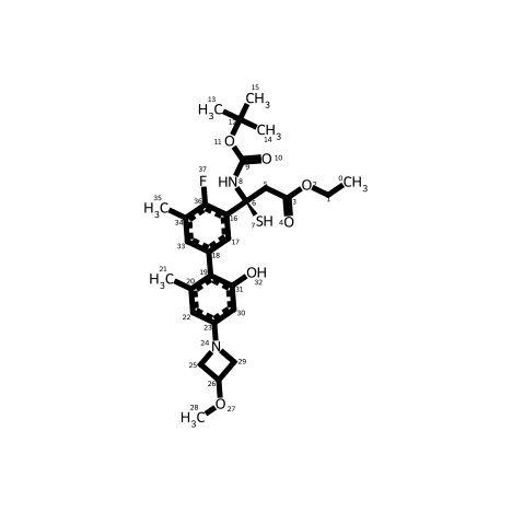 CCOC(=O)C[C@@](S)(NC(=O)OC(C)(C)C)c1cc(-c2c(C)cc(N3CC(OC)C3)cc2O)cc(C)c1F